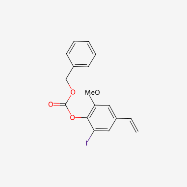 C=Cc1cc(I)c(OC(=O)OCc2ccccc2)c(OC)c1